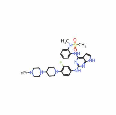 CCCN1CCN(C2CCN(c3ccc(Nc4nc(Nc5ccccc5N(C)S(C)(=O)=O)c5cc[nH]c5n4)cc3F)CC2)CC1